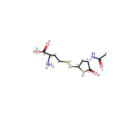 CC(=O)N[C@H]1CC(SSCCC(N)C(=O)O)SC1=O